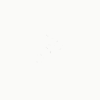 COc1ccc(CN2C(=O)c3cc(F)ccc3[C@@]23CCN(C)C3=O)cc1